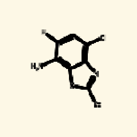 CCc1nc2c(Cl)cc(F)c(N)c2s1